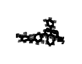 CC(C1CCCN(C(N)=O)C1S(=O)(=O)c1ccccc1)N1CCC(Cc2ccc(F)cc2)CC1